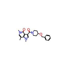 Cc1cn(C)c(=O)c2c(C(=O)N3CCC(OCc4ccccc4)CC3)cn(C)c12